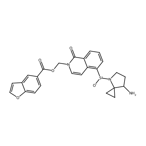 NC1CCN([S+]([O-])c2cccc3c(=O)n(COC(=O)c4ccc5occc5c4)ccc23)C12CC2